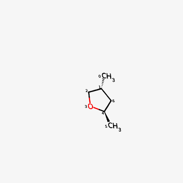 C[C@H]1CO[C@H](C)C1